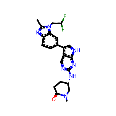 Cc1nc2ccc(-c3c[nH]c4nc(N[C@H]5CCC(=O)N(C)C5)ncc34)cc2n1CC(F)F